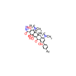 CC(=O)c1ccc(-c2cc(N(C)C)c3c(c2O)C(=O)C2=C(O)[C@]4(O)C(=O)C(C(N)=O)=C(O)[C@@H](N(C)C)[C@@H]4C[C@@H]2C3)cc1